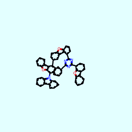 c1ccc(-c2nc(-c3cccc4c3oc3ccccc34)nc(-c3cccc4oc5ccc(-c6ccc(-n7c8ccccc8c8ccccc87)c7oc8ccccc8c67)cc5c34)n2)cc1